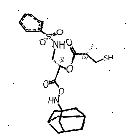 C[C@H](CS)C(=O)O[C@@H](CNS(=O)(=O)c1ccccc1)C(=O)ONC12CC3CC(CC(C3)C1)C2